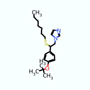 CCCCCCCSC(Cn1ccnc1)c1ccc(OC(C)(C)C)cc1